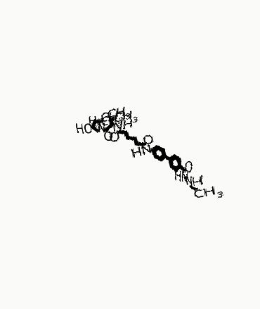 CCCNNC(=O)c1ccc(-c2ccc(NC(=O)CCCCC(=O)NC(C(=O)N3C[C@H](O)C[C@H]3C)C(C)(C)C)cc2)cc1